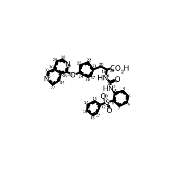 O=C(Nc1ccccc1S(=O)(=O)c1ccccc1)NC(Cc1ccc(Oc2nccc3cnccc23)cc1)C(=O)O